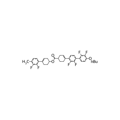 CCCCOc1ccc(-c2ccc(C3=CCC(C(=O)OC4CC=C(c5ccc(C)c(F)c5F)CC4)CC3)c(F)c2F)c(F)c1F